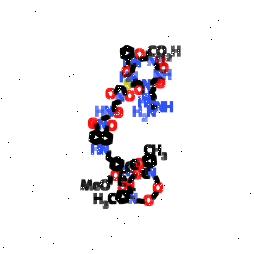 COCCOc1cc(CCNc2ccc3c4c(cccc24)C(=O)N(CCNC(=O)CCN2C(=O)CC(SCC4NC(=O)[C@H](Cc5ccccc5)NC(=O)[C@@H](CC(=O)O)NC(=O)C(=O)NC(=O)[C@H](CCCNC(=N)N)NC4=O)C2=O)C3=O)ccc1N1CCOc2cc(C)ccc2N2CCOCCOCCN(CCOCCOCC2)c2ccc(C)cc2OCC1